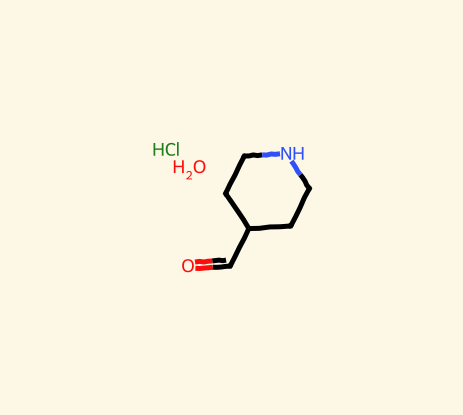 Cl.O.O=CC1CCNCC1